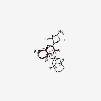 C[C@H]1CC[C@H]2C[C@@H]1C[C@H](N1[C@@H]3CCC[C@H]1C[C@@H](n1c(=O)c(-n4cc(F)c(N)nc4=O)nc4ccccc41)C3)C2